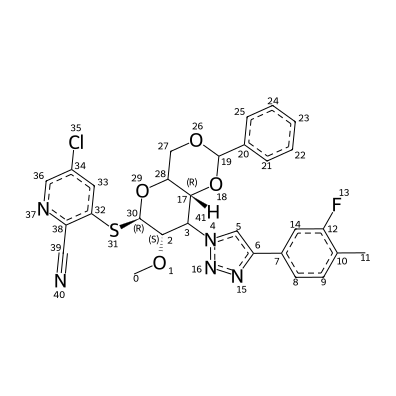 CO[C@H]1C(n2cc(-c3ccc(C)c(F)c3)nn2)[C@H]2OC(c3ccccc3)OCC2O[C@@H]1Sc1cc(Cl)cnc1C#N